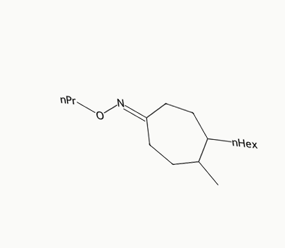 CCCCCCC1CC/C(=N/OCCC)CCC1C